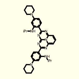 CC(C)Nc1cc(N2CCCCC2)ccc1C1=NC2=CC=CC3=NC(c4ccc(N5CCCCC5)cc4NC(C)C)=NC(=N1)N23